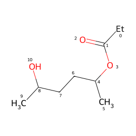 CCC(=O)OC(C)CCC(C)O